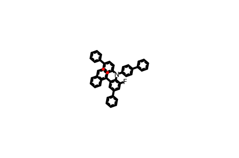 Fc1cc(-c2ccccc2)cc(-c2cccc3ccccc23)c1N(c1ccc(-c2ccccc2)cc1)c1ccc(-c2ccccc2)cc1